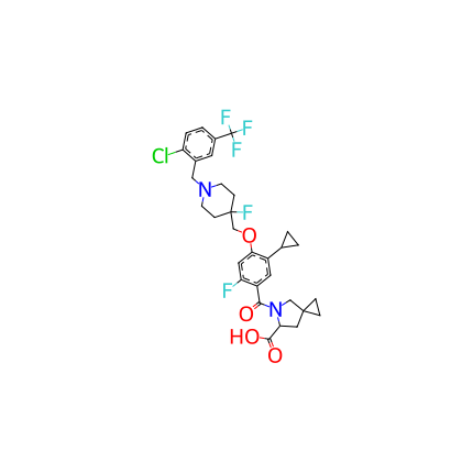 O=C(O)C1CC2(CC2)CN1C(=O)c1cc(C2CC2)c(OCC2(F)CCN(Cc3cc(C(F)(F)F)ccc3Cl)CC2)cc1F